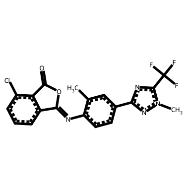 Cc1cc(-c2nc(C(F)(F)F)n(C)n2)ccc1N=C1OC(=O)c2c(Cl)cccc21